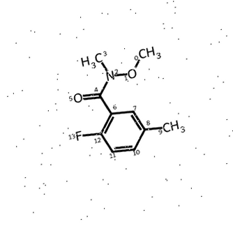 CON(C)C(=O)c1cc(C)ccc1F